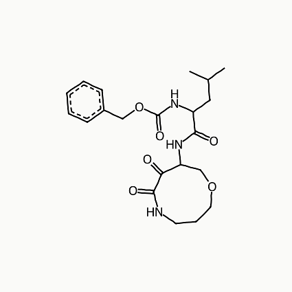 CC(C)CC(NC(=O)OCc1ccccc1)C(=O)NC1COCCCNC(=O)C1=O